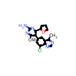 COc1nc(N)nc(-c2ccco2)c1-c1cc(Cl)c2ncnc(C)c2c1